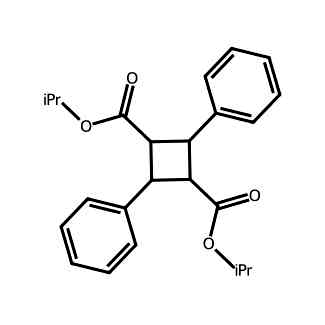 CC(C)OC(=O)C1C(c2ccccc2)C(C(=O)OC(C)C)C1c1ccccc1